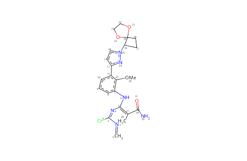 C=N/C(Cl)=N\C(Nc1cccc(-c2ccn(C3CCC34OCCO4)n2)c1OC)=C(/C)C(N)=O